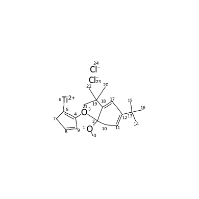 COC1(OC2=[C]([Ti+2])CC=C2)CC=C(C(C)(C)C)C=C1C(C)(C)C.[Cl-].[Cl-]